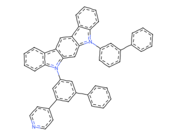 c1ccc(-c2cccc(-n3c4ccccc4c4cc5c6ccccc6n(-c6cc(-c7ccccc7)cc(-c7ccncc7)c6)c5cc43)c2)cc1